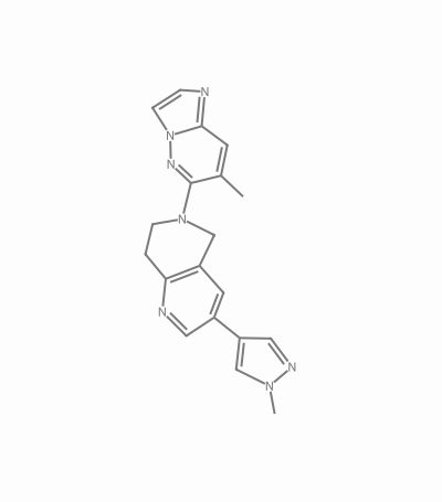 Cc1cc2nccn2nc1N1CCc2ncc(-c3cnn(C)c3)cc2C1